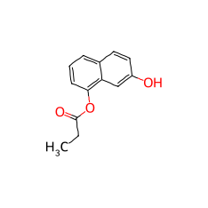 CCC(=O)Oc1cccc2ccc(O)cc12